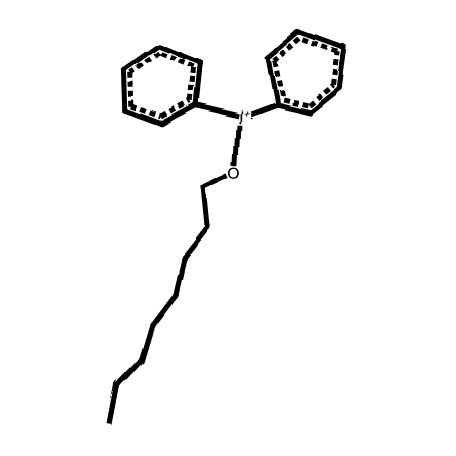 CCCCCCCCO[I+](c1ccccc1)c1ccccc1